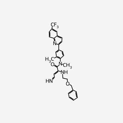 Cc1cc(-c2ccc3cc(C(F)(F)F)ccc3n2)ccc1N(C)C(=O)/C(=C/C=N)NCCOCc1ccccc1